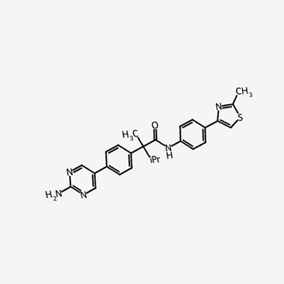 Cc1nc(-c2ccc(NC(=O)C(C)(c3ccc(-c4cnc(N)nc4)cc3)C(C)C)cc2)cs1